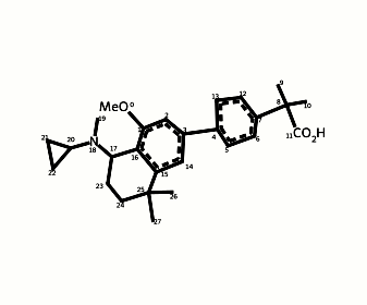 COc1cc(-c2ccc(C(C)(C)C(=O)O)cc2)cc2c1C(N(C)C1CC1)CCC2(C)C